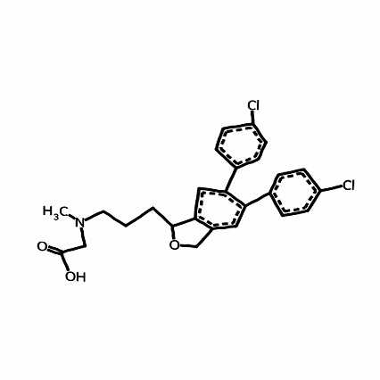 CN(CCCC1OCc2cc(-c3ccc(Cl)cc3)c(-c3ccc(Cl)cc3)cc21)CC(=O)O